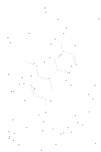 CCN1C=CC(N(C)C)=C(c2cccc(C(F)(F)F)c2)C1